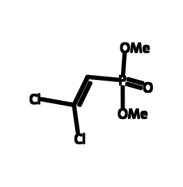 COP(=O)(C=C(Cl)Cl)OC